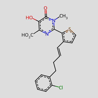 Cn1c(-c2sccc2/C=C/CCc2ccccc2Cl)nc(C(=O)O)c(O)c1=O